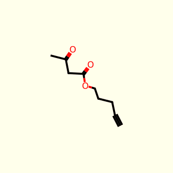 C#CCCCOC(=O)CC(C)=O